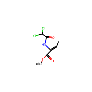 CC=C(NC(=O)C(Cl)Cl)C(=O)OCCCC